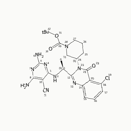 C[C@H](Nc1nc(N)nc(N)c1C#N)c1nc2cccc(Cl)c2c(=O)n1[C@H]1CCCN(C(=O)OC(C)(C)C)C1